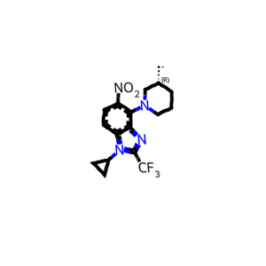 [CH2][C@@H]1CCCN(c2c([N+](=O)[O-])ccc3c2nc(C(F)(F)F)n3C2CC2)C1